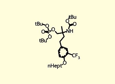 CCCCCCCOc1ccc(CCC(C)(COP(=O)(OC(C)(C)C)OC(C)(C)C)NC(=O)OC(C)(C)C)cc1C(F)(F)F